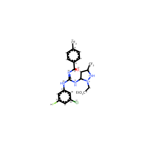 CCOC(=O)CN1NC(C(F)(F)F)CC1N/C(=N\C(=O)c1ccc(C(F)(F)F)cc1)Nc1cc(F)cc(Cl)c1